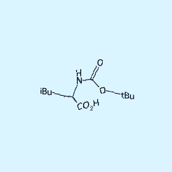 CCC(C)C(NC(=O)OC(C)(C)C)C(=O)O